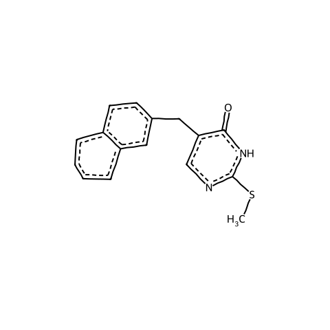 CSc1ncc(Cc2ccc3ccccc3c2)c(=O)[nH]1